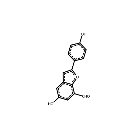 O=Cc1cc(O)cc2cc(-c3ccc(O)cc3)oc12